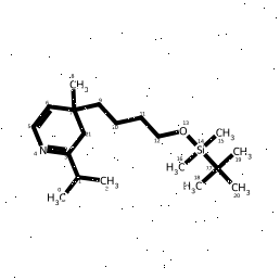 CC(C)C1=NC=CC(C)(CCCCO[Si](C)(C)C(C)(C)C)C1